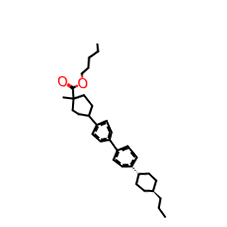 CCCCCOC(=O)C1(C)CCC(c2ccc(-c3ccc([C@H]4CC[C@H](CCC)CC4)cc3)cc2)CC1